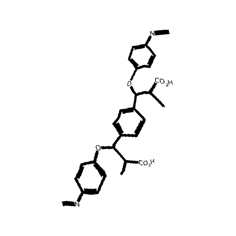 C=Nc1ccc(OC(c2ccc(C(Oc3ccc(N=C)cc3)C(C)C(=O)O)cc2)C(C)C(=O)O)cc1